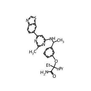 CCCC(CC)(Oc1cccc(C(C)Nc2cc(-c3ccc4ncsc4c3)nc(C)n2)c1)C(N)=O